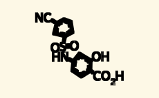 N#Cc1cccc(S(=O)(=O)Nc2ccc(C(=O)O)c(O)c2)c1